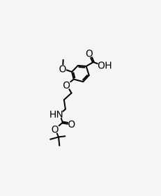 COc1cc(C(=O)O)ccc1OCCCNC(=O)OC(C)(C)C